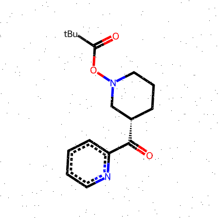 CC(C)(C)C(=O)ON1CCC[C@H](C(=O)c2ccccn2)C1